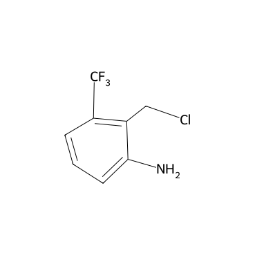 Nc1cccc(C(F)(F)F)c1CCl